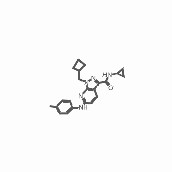 Cc1ccc(Nc2ccc3c(C(=O)NC4CC4)nn(CC4CCC4)c3n2)cc1